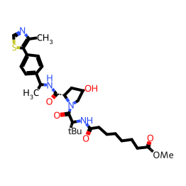 COC(=O)CCCCCCC(=O)NC(C(=O)N1C[C@H](O)C[C@H]1C(=O)NC(C)c1ccc(-c2scnc2C)cc1)C(C)(C)C